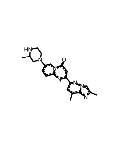 Cc1cn2nc(-c3cc(=O)n4cc(N5CCN[C@H](C)C5)ccc4n3)cc(C)c2n1